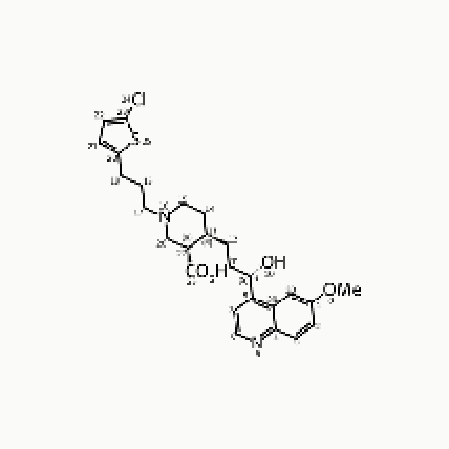 COc1ccc2nccc([C@@H](O)CC[C@@H]3CCN(CCCc4ccc(Cl)s4)C[C@@H]3C(=O)O)c2c1